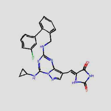 O=C1NC(=O)/C(=C/c2cnn3c(NC4CC4)nc(NCc4ccccc4-c4cccc(Cl)c4)nc23)N1